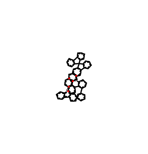 c1ccc(-c2ccccc2-c2c(-c3ccccc3)cccc2N(c2cccc(-n3c4ccccc4c4ccccc43)c2)c2ccc3c(c2)-c2ccccc2C32c3ccccc3-c3ccccc32)cc1